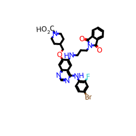 O=C(O)N1CCC(COc2cc3ncnc(Nc4ccc(Br)cc4F)c3cc2NCCCN2C(=O)c3ccccc3C2=O)CC1